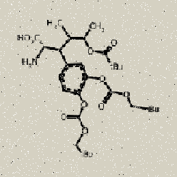 CCC(C)COC(=O)Oc1ccc(C(C(C)C(C)OC(=O)C(C)(C)C)[C@H](N)C(=O)O)cc1OC(=O)OCC(C)CC